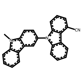 Cn1c2ccccc2c2cc(-n3c4ccccc4c4c(C#N)cccc43)ccc21